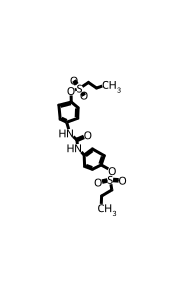 CCCS(=O)(=O)Oc1ccc(NC(=O)Nc2ccc(OS(=O)(=O)CCC)cc2)cc1